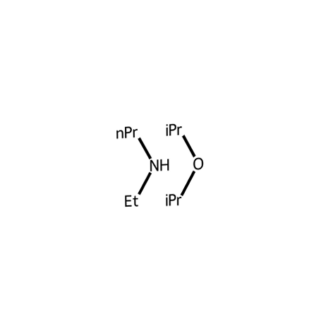 CC(C)OC(C)C.CCCNCC